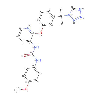 CC(C)(c1cccc(Oc2ncccc2NC(=O)Nc2ccc(OC(F)(F)F)cc2)c1)n1cnnn1